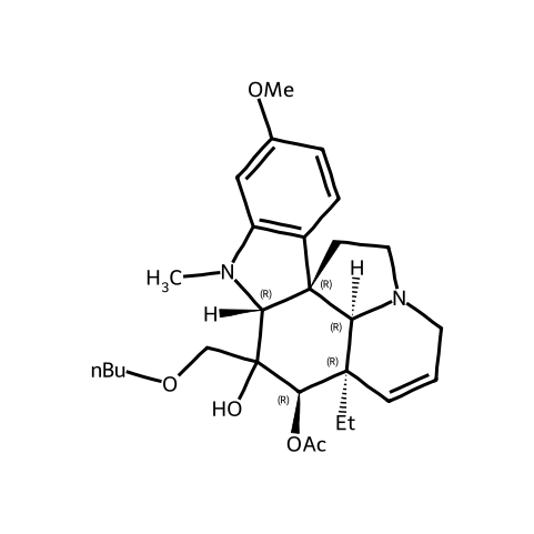 CCCCOCC1(O)[C@H](OC(C)=O)[C@]2(CC)C=CCN3CC[C@@]4(c5ccc(OC)cc5N(C)[C@@H]14)[C@@H]32